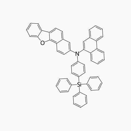 c1ccc([Si](c2ccccc2)(c2ccccc2)c2ccc(N(c3ccc4c(ccc5c6ccccc6oc45)c3)c3cc4ccccc4c4ccccc34)cc2)cc1